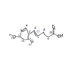 COc1ccc(/C=C/CCC(=O)O)c(OC)c1